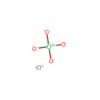 [Cl+].[O-][Cl+3]([O-])([O-])[O-]